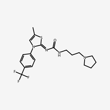 Cc1cn(-c2ccc(C(F)(F)F)cc2)c(=NC(=O)NCCCN2CCCC2)s1